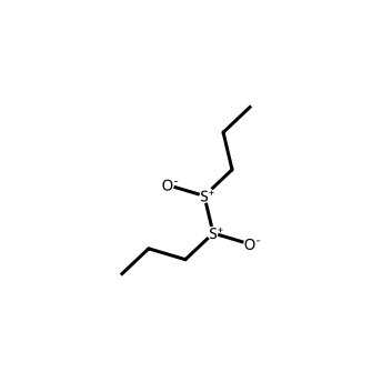 CCC[S+]([O-])[S+]([O-])CCC